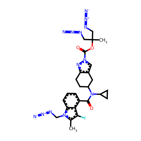 Cc1c(F)c2c(C(=O)N(C3CC3)C3CCc4nn(C(=O)OC(C)(CN=[N+]=[N-])CN=[N+]=[N-])cc4C3)cccc2n1CN=[N+]=[N-]